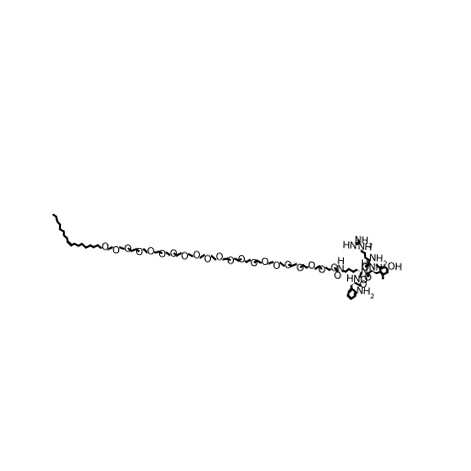 CCCCCCCC/C=C\CCCCCCCCOCCOCCOCCOCCOCCOCCOCCOCCOCCOCCOCCOCCOCCOCCOCCOCCOCCOCCOCCOCCOC(=O)NCCCC[C@H](NC(=O)[C@H](Cc1c(C)cc(O)cc1C)NC(=O)[C@H](N)CCCNC(=N)N)C(=O)N[C@@H](Cc1ccccc1)C(N)=O